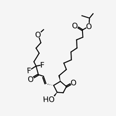 COCCCCC(F)(F)C(=O)C=C[C@H]1[C@H](O)CC(=O)[C@@H]1CCCCCCCCC(=O)OC(C)C